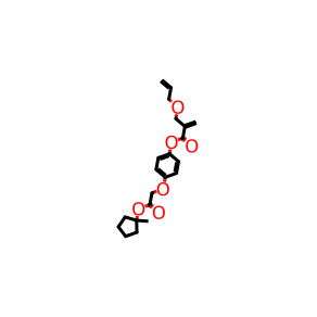 C=CCOCC(=C)C(=O)Oc1ccc(OCC(=O)OC2(C)CCCC2)cc1